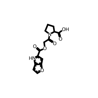 O=C(OCC(=O)N1CCCC1C(=O)O)c1cc2occc2[nH]1